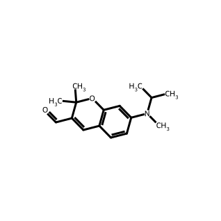 CC(C)N(C)c1ccc2c(c1)OC(C)(C)C(C=O)=C2